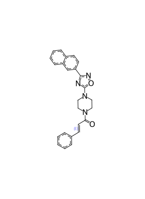 O=C(/C=C/c1ccccc1)N1CCN(c2nc(-c3ccc4ccccc4c3)no2)CC1